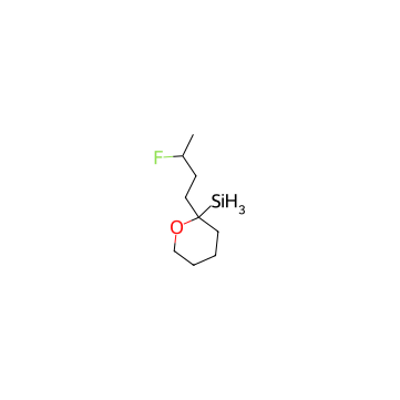 CC(F)CCC1([SiH3])CCCCO1